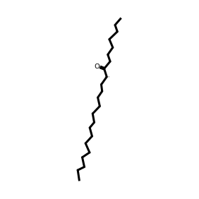 CCCCCCCCCCCCCC[CH]C(=O)CCCCCCC